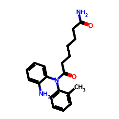 Cc1ccccc1N(C(=O)CCCCCC(N)=O)c1ccccc1N